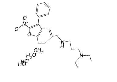 CCN(CC)CCCNCc1ccc2oc([N+](=O)[O-])c(-c3ccccc3)c2c1.Cl.Cl.O.O